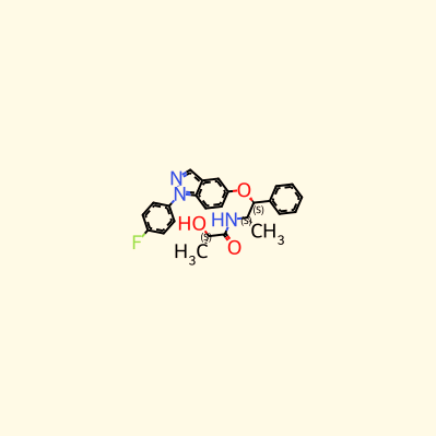 C[C@H](O)C(=O)N[C@@H](C)[C@@H](Oc1ccc2c(cnn2-c2ccc(F)cc2)c1)c1ccccc1